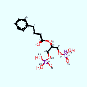 O=C(CCCc1ccccc1)OC(CO[PH](=O)O)COP(=O)(O)O